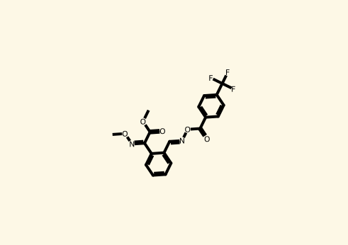 CO/N=C(\C(=O)OC)c1ccccc1/C=N/OC(=O)c1ccc(C(F)(F)F)cc1